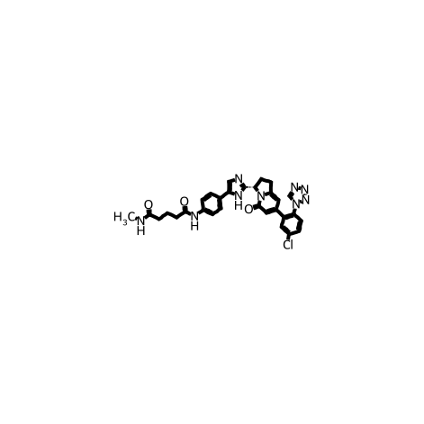 CNC(=O)CCCC(=O)Nc1ccc(-c2cnc([C@@H]3CCc4cc(-c5cc(Cl)ccc5-n5cnnn5)cc(=O)n43)[nH]2)cc1